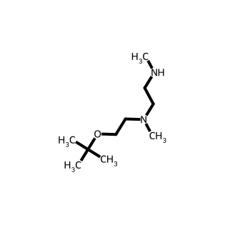 CNCCN(C)CCOC(C)(C)C